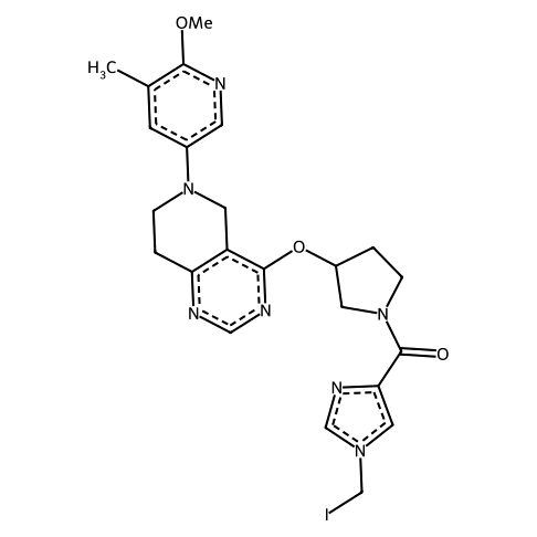 COc1ncc(N2CCc3ncnc(OC4CCN(C(=O)c5cn(CI)cn5)C4)c3C2)cc1C